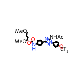 COCCC[C@@H](OC)OC(=O)Nc1ccc(-c2nc(NC(C)=O)n(-c3ccc(OC(F)(F)F)cc3)n2)cc1